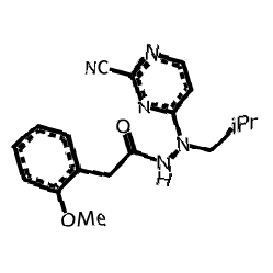 COc1ccccc1CC(=O)NN(CC(C)C)c1ccnc(C#N)n1